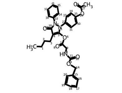 CCCCc1c(OC(=O)CNC(=O)OCc2ccccc2)n(-c2ccc(OC(C)=O)cc2)n(-c2ccccc2)c1=O